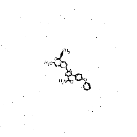 CC#CC(=O)N1CCN(c2nc(-c3ccc(Oc4ccccc4)cc3)c(C(N)=O)s2)C[C@H]1CCC